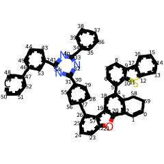 C1=Cc2c(c(-c3cccc4c3sc3ccccc34)cc3c2oc2cccc(-c4ccc(-c5nc(-c6ccccc6)nc(-c6cccc(-c7ccccc7)c6)n5)cc4)c23)CC1